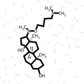 CN(C)CCCCON(C)C1CC[C@@]2(O)[C@@H]3CCC4CC(O)CC[C@]4(C)[C@@H]3CC[C@]12C